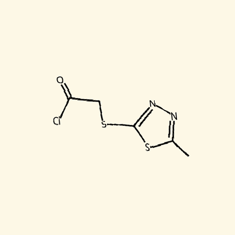 Cc1nnc(SCC(=O)Cl)s1